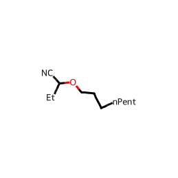 CCCCCCCCOC(C#N)CC